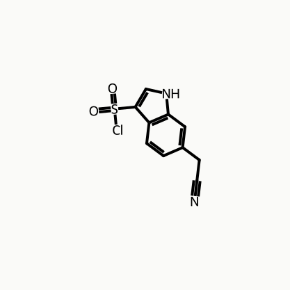 N#CCc1ccc2c(S(=O)(=O)Cl)c[nH]c2c1